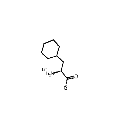 N[C@@H](CC1CCCCC1)C(=O)[O-].[Li+]